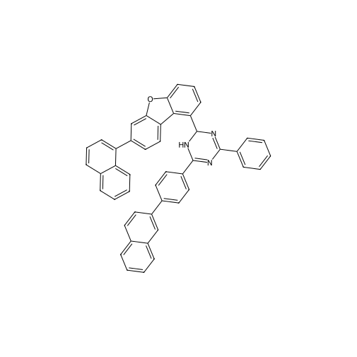 c1ccc(C2=NC(c3cccc4oc5cc(-c6cccc7ccccc67)ccc5c34)NC(c3ccc(-c4ccc5ccccc5c4)cc3)=N2)cc1